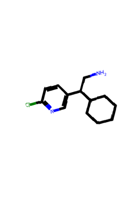 NCC(c1ccc(Cl)nc1)C1CCCCC1